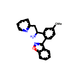 COc1ccc(-c2noc3ccccc23)c(C(N)Cc2ccccn2)c1